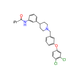 CC(C)C(=O)Nc1cccc(C2CCN(Cc3cccc(Oc4ccc(Cl)c(Cl)c4)c3)CC2)c1